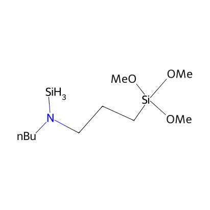 CCCCN([SiH3])CCC[Si](OC)(OC)OC